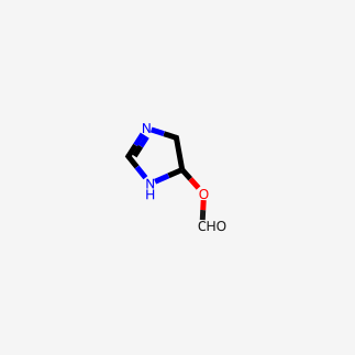 O=COC1CN=CN1